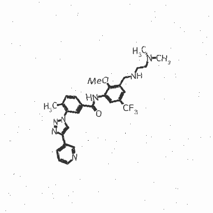 COc1c(CNCCN(C)C)cc(C(F)(F)F)cc1NC(=O)c1ccc(C)c(-n2cc(-c3cccnc3)nn2)c1